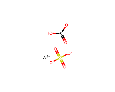 O=S(=O)([O-])[O-].O=[Si]([O-])O.[Al+3]